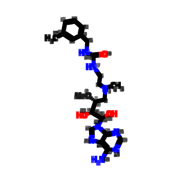 CO[C@H](CN(C)CCNC(=O)NCc1cccc(C)c1)[C@@H](O)[C@@H](O)n1cnc2c(N)ncnc21